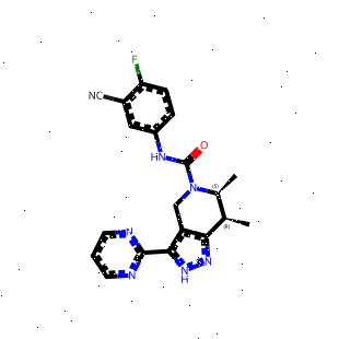 C[C@H]1c2n[nH]c(-c3ncccn3)c2CN(C(=O)Nc2ccc(F)c(C#N)c2)[C@H]1C